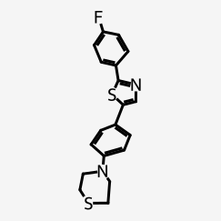 Fc1ccc(-c2ncc(-c3ccc(N4CCSCC4)cc3)s2)cc1